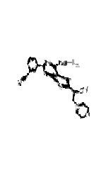 N#Cc1cccc(-c2nc(N)c3cc(C(O)CN4CCOCC4)sc3n2)c1